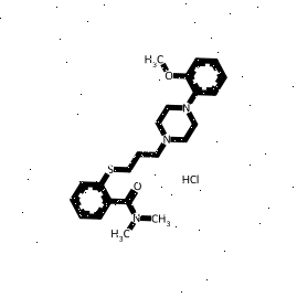 COc1ccccc1N1CCN(CCCSc2ccccc2C(=O)N(C)C)CC1.Cl